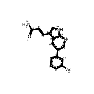 CC(=O)c1cccc(-c2cnc3[nH]cc(C=CC(N)=O)c3c2)c1